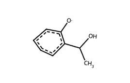 CC(O)c1ccccc1[O]